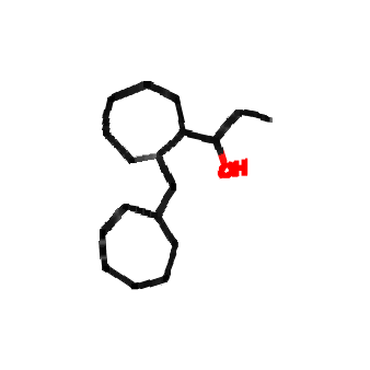 CCC(O)C1CCCCCC1CC1CCCCCC1